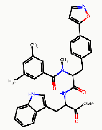 COC(=O)C(Cc1c[nH]c2ccccc12)NC(=O)C(Cc1ccc(-c2ccno2)cc1)N(C)C(=O)c1cc(C)cc(C)c1